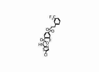 O=S(=O)(CCc1cccc(C(F)(F)F)c1)c1ccc(S(=O)(=O)Nc2ncc(Cl)s2)c(F)c1